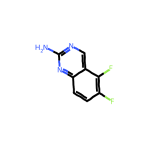 Nc1ncc2c(F)c(F)ccc2n1